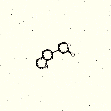 O=c1cc(-c2ccc3cccnc3c2)cco1